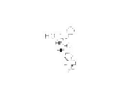 O=C(Nc1ccc(OC(F)(F)F)cc1)NC(Cc1ccccc1)C(=O)O